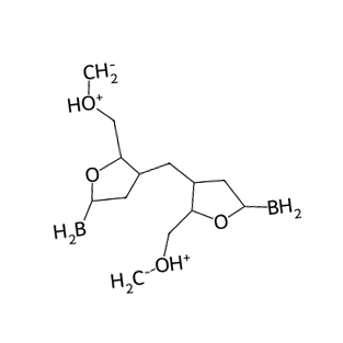 BC1CC(CC2CC(B)OC2C[OH+][CH2-])C(C[OH+][CH2-])O1